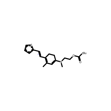 CC1=C(/C=C/c2cccs2)CCC(N(C)CCOC(=O)C(C)(C)C)=C1